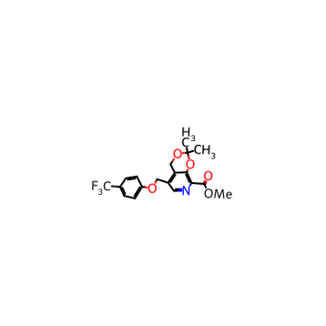 COC(=O)c1ncc(COc2ccc(C(F)(F)F)cc2)c2c1OC(C)(C)OC2